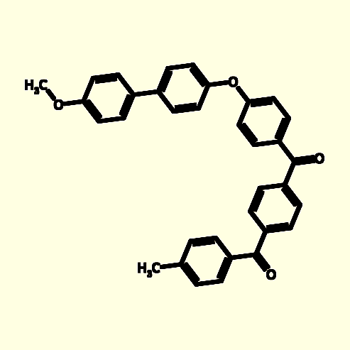 COc1ccc(-c2ccc(Oc3ccc(C(=O)c4ccc(C(=O)c5ccc(C)cc5)cc4)cc3)cc2)cc1